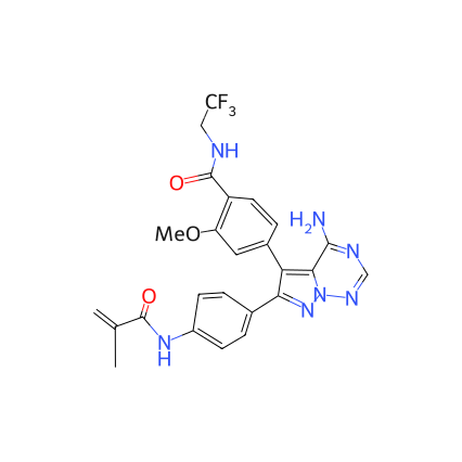 C=C(C)C(=O)Nc1ccc(-c2nn3ncnc(N)c3c2-c2ccc(C(=O)NCC(F)(F)F)c(OC)c2)cc1